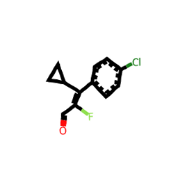 O=CC(F)=C(c1ccc(Cl)cc1)C1CC1